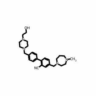 CN1CCCN(Cc2ccc(-c3ccc(CN4CCN(CCO)CC4)cc3)c(C#N)c2)CC1